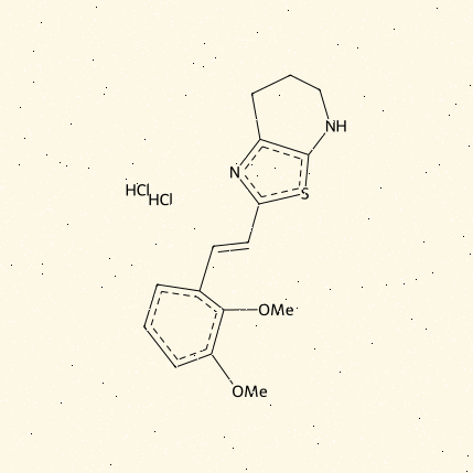 COc1cccc(C=Cc2nc3c(s2)NCCC3)c1OC.Cl.Cl